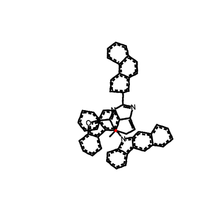 CC1C/C=C(c2ccc3oc4ccccc4c3c2-n2c3ccccc3c3cc4ccccc4cc32)/N=C(c2ccc3c(ccc4ccccc43)c2)\N=C/1c1ccccc1